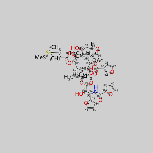 CSSC(C)(C)CCC(=O)O[C@H]1C(=O)[C@@]2(C)[C@H]([C@H](OC(=O)c3ccoc3)[C@]3(O)C[C@H](OC(=O)[C@H](O)[C@@H](NC(=O)c4ccco4)c4ccco4)C(C)=C1C3(C)C)[C@]1(OC(C)=O)CO[C@@H]1C[C@@H]2O